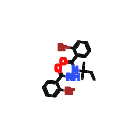 CCC(C)(C)N(NC(=O)c1ccccc1Br)C(=O)c1ccccc1Br